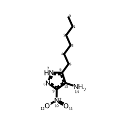 CCCCCCc1[nH]nc([N+](=O)[O-])c1N